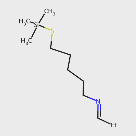 CCC=NCCCCCS[Si](C)(C)C